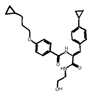 O=C(NCCO)C(=Cc1ccc(C2CC2)cc1)NC(=O)c1ccc(OCCCC2CC2)cc1